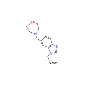 CNCn1cnc2ccc(CN3CCOCC3)cc21